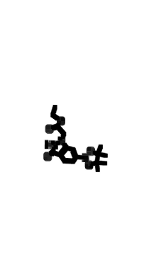 CCOC(=O)Cn1[nH]c(=O)c2ccc(B3OC(C)(C)C(C)(C)O3)cc21